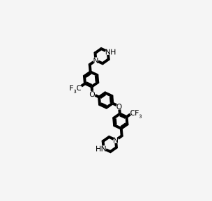 FC(F)(F)c1cc(CN2CCNCC2)ccc1Oc1ccc(Oc2ccc(CN3CCNCC3)cc2C(F)(F)F)cc1